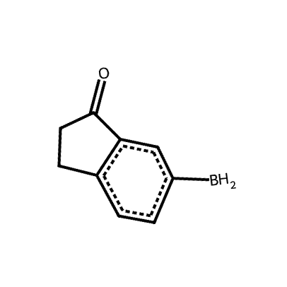 Bc1ccc2c(c1)C(=O)CC2